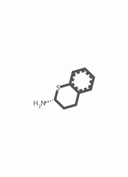 N[C@H]1CCc2ccccc2S1